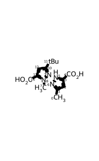 Cc1cc(C(=O)O)[nH]n1.Cn1nc(C(C)(C)C)cc1C(=O)O